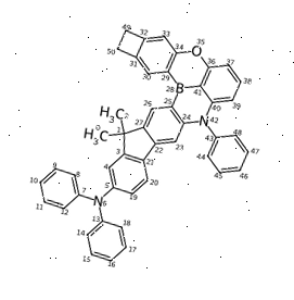 CC1(C)c2cc(N(c3ccccc3)c3ccccc3)ccc2-c2cc3c(cc21)B1c2cc4c(cc2Oc2cccc(c21)N3c1ccccc1)CC4